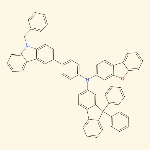 c1ccc(Cn2c3ccccc3c3cc(-c4ccc(N(c5ccc6c(c5)C(c5ccccc5)(c5ccccc5)c5ccccc5-6)c5ccc6c(c5)oc5ccccc56)cc4)ccc32)cc1